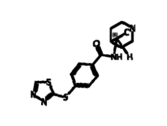 O=C(N[C@H]1CN2CCC1CC2)c1ccc(Sc2nncs2)cc1